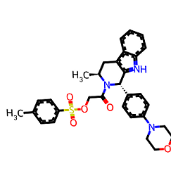 Cc1ccc(S(=O)(=O)OCC(=O)N2[C@@H](c3ccc(N4CCOCC4)cc3)c3[nH]c4ccccc4c3C[C@@H]2C)cc1